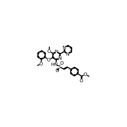 COC(=O)c1ccc(C=CS(=O)(=O)Nc2nc(-c3ncccn3)nc(OC)c2Oc2ccccc2OC)cc1